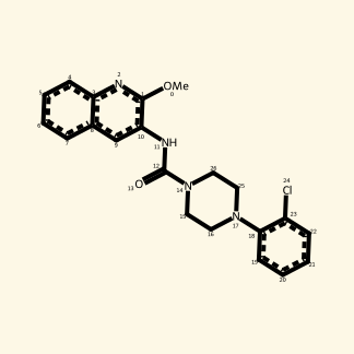 COc1nc2ccccc2cc1NC(=O)N1CCN(c2ccccc2Cl)CC1